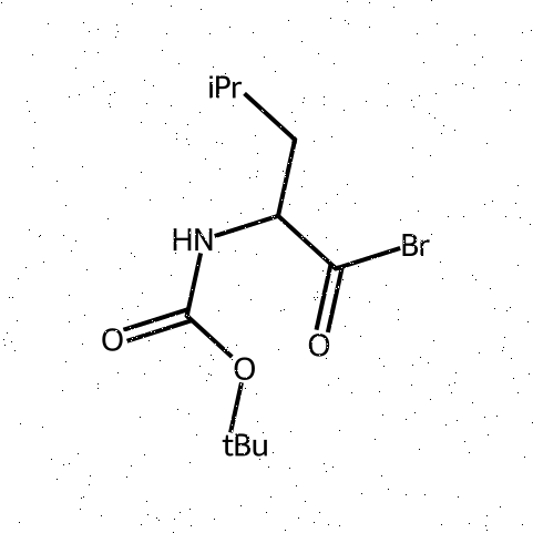 CC(C)CC(NC(=O)OC(C)(C)C)C(=O)Br